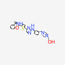 C[C@@H](NC(=O)c1ccc(-c2ccnc(Nc3cccc(CN4CCN(CCO)CC4)c3)n2)s1)c1ccccc1